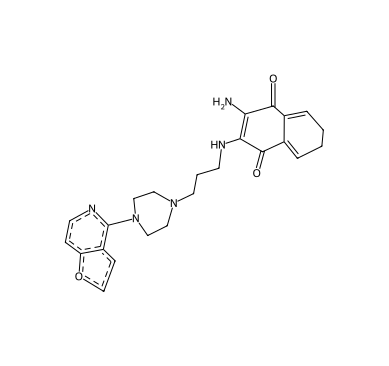 NC1=C(NCCCN2CCN(c3nccc4occc34)CC2)C(=O)C2=CCCC=C2C1=O